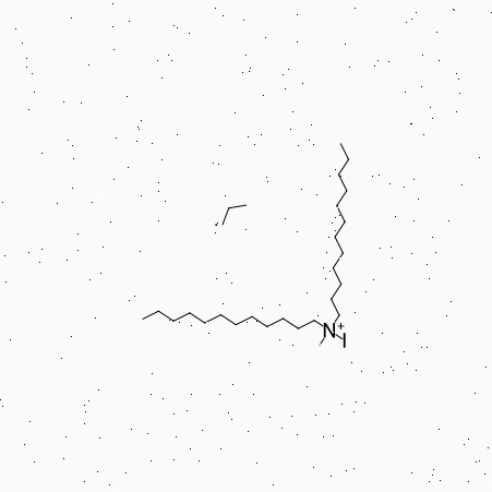 CCCCCCCCCCCC[N+](C)(I)CCCCCCCCCCCC.[CH2]CC